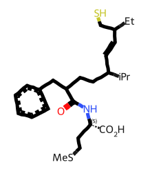 CCC(C=CC(CCC(Cc1ccccc1)C(=O)N[C@@H](CCSC)C(=O)O)C(C)C)CS